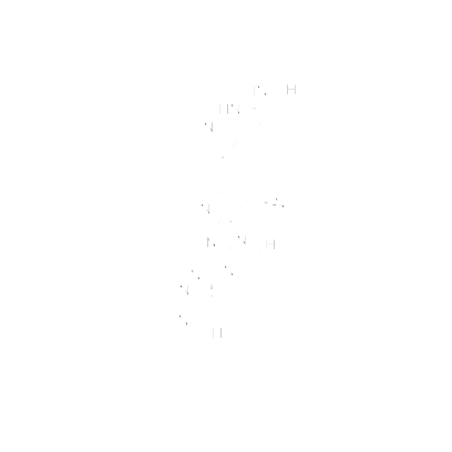 CNC(=O)Nc1cc(Oc2cnc3nc(Nc4cc5n(n4)CCN5C(C)(C)C)n(C)c3c2C#N)ccn1